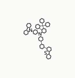 c1ccc(C2(c3ccccc3)c3ccccc3-c3c(N(c4ccc(-c5cccc(-c6cccc7c6sc6ccccc67)c5)cc4)c4ccc(-n5c6ccccc6c6ccccc65)cc4)cccc32)cc1